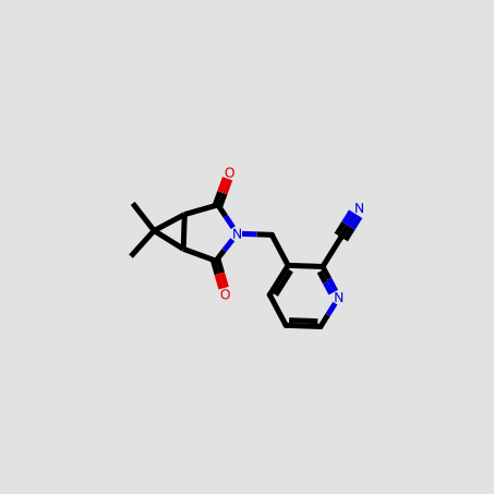 CC1(C)C2C(=O)N(Cc3cccnc3C#N)C(=O)C21